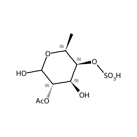 CC(=O)O[C@@H]1C(O)O[C@@H](C)[C@@H](OS(=O)(=O)O)[C@H]1O